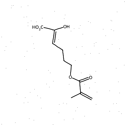 C=C(C)C(=O)OCCCC=C(O)C(=O)O